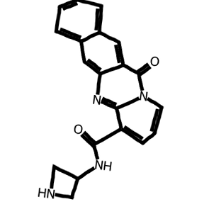 O=C(NC1CNC1)c1cccn2c(=O)c3cc4ccccc4cc3nc12